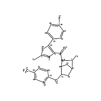 Cc1nc(C(=O)N2C(C)C3CC(Oc4ccc(C(F)(F)F)cn4)C2C3)c(-c2ccc(F)cc2)s1